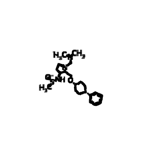 CN(C)CN1CCC(N[S+](C)[O-])C1CO[C@H]1CC[C@@H](c2ccccc2)CC1